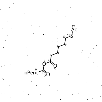 CCCCCC(=O)OC(=O)CCCCCSC(C)=O